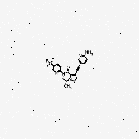 C[C@H]1CN(c2ccc(C(F)(F)F)cn2)C(=O)c2c(C#Cc3ccc(N)nc3)cnn21